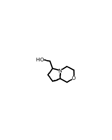 OCC1CCC2COCCN12